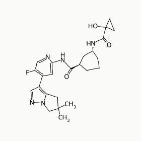 CC1(C)Cc2c(-c3cc(NC(=O)[C@@H]4CCC[C@@H](NC(=O)C5(O)CC5)C4)ncc3F)cnn2C1